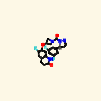 O=C1CCc2cc(F)c(OC3CN(C(=O)N4N=CC[C@H]4c4cc(F)cc(F)c4)C3)cc2N1